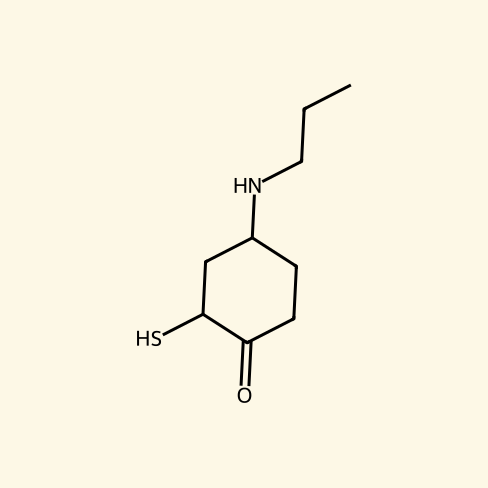 CCCNC1CCC(=O)C(S)C1